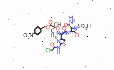 CC(C)(ON=C(C(=O)N[C@@H]1C(=O)N(S(=O)(=O)O)[C@@H]1C(N)=O)c1csc(NC(=O)CCl)n1)C(=O)OCc1ccc([N+](=O)[O-])cc1